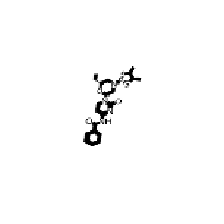 CC[C@@H]1CN(P2SC(C)C(C)S2)C[C@H](n2ccc(NC(=O)c3ccccc3)nc2=O)O1